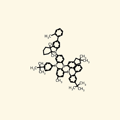 Cc1cc2c3c(c1)N(c1ccc(C(C)(C)C)cc1-c1ccccc1)c1cc4c(cc1B3c1ccc(N3c5ccc(-c6ccccc6C)cc5C5(C)CCCCC35C)cc1N2c1ccc(C(C)(C)C)cc1)CC(C)(C)C4